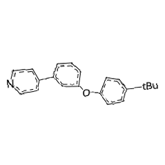 CC(C)(C)c1ccc(Oc2cccc(-c3ccncc3)c2)cc1